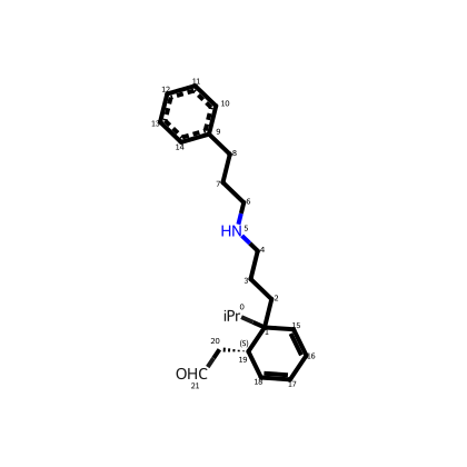 CC(C)C1(CCCNCCCc2ccccc2)C=CC=C[C@@H]1CC=O